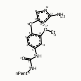 CCCCCNC(=O)Nc1ccc(Oc2cnc(N)s2)c(OCC)c1